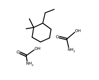 CCC1CCCCC1(C)C.NC(=O)O.NC(=O)O